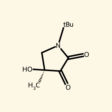 CC(C)(C)N1C[C@](C)(O)C(=O)C1=O